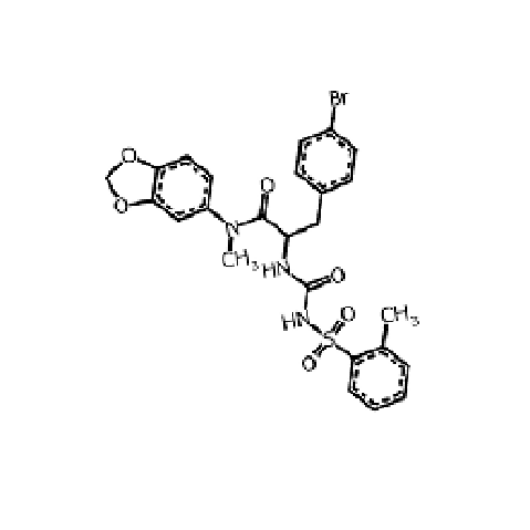 Cc1ccccc1S(=O)(=O)NC(=O)NC(Cc1ccc(Br)cc1)C(=O)N(C)c1ccc2c(c1)OCO2